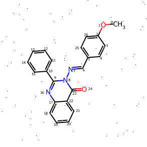 COc1ccc(C=Nn2c(-c3ccccc3)nc3ccccc3c2=O)cc1